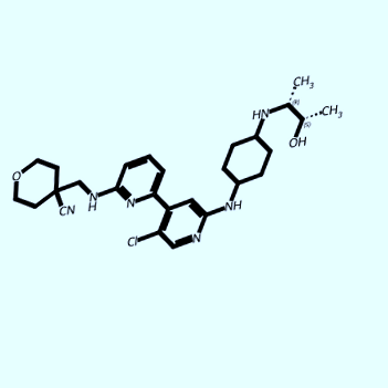 C[C@H](O)[C@@H](C)NC1CCC(Nc2cc(-c3cccc(NCC4(C#N)CCOCC4)n3)c(Cl)cn2)CC1